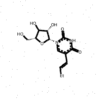 CC/C=C/c1cn([C@@H]2O[C@H](CO)C(O)[C@@H]2O)c(=O)[nH]c1=O